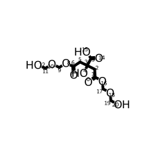 O=C(CC(O)(CC(=O)OCOCO)C(=O)O)OCOCO